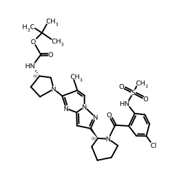 Cc1cn2nc([C@@H]3CCCCN3C(=O)c3cc(Cl)ccc3NS(C)(=O)=O)cc2nc1N1CC[C@H](NC(=O)OC(C)(C)C)C1